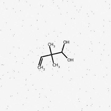 C=CC(C)(C)C(O)O